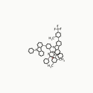 Cc1ccc(-c2ccc3c4ccc(-c5ccc(C(F)(F)F)cc5C)cc4n(-c4ccc(-c5cccc6c5c5ccccc5n6-c5ccccc5)cc4-c4nc(-c5ccccc5)nc(-c5ccccc5)n4)c3c2)c(C)c1